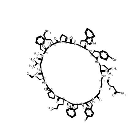 CCCC[C@H]1C(=O)N2CCC[C@@H]2C(=O)N[C@@H](COC=O)C(=O)N[C@@H](C(C)C)C(=O)N(C)[C@@H](Cc2ccccc2)C(=O)N[C@@H](CCCN)C(=O)N2CCC[C@@H]2C(=O)N[C@@H](Cc2c[nH]c3ccccc23)C(=O)N[C@@H](Cc2ccc(O)cc2)C(=O)N[C@@H](CC(C)C)C(=O)N[C@H](C(=O)NCC(N)=O)CSCC(=O)N[C@@H](Cc2ccc(F)cc2)C(=O)N(C)[C@@H](Cc2ccccc2)C(=O)N1C